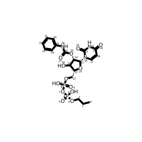 CCCOP(=O)(O)OP(=O)(O)OC[C@H]1O[C@@H](n2ccc(=O)[nH]c2=O)[C@@H](OC(=O)Nc2ccccc2)C1O